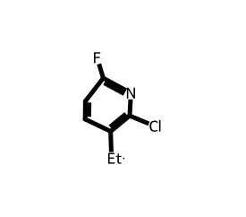 C[CH]c1ccc(F)nc1Cl